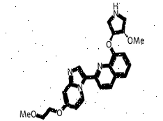 COCCOc1ccn2c(-c3ccc4cccc(O[C@H]5CNC[C@@H]5OC)c4n3)cnc2c1